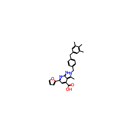 Cc1cc(Cc2ccc(Cn3nc4nc(-c5ccco5)cc(C(=O)O)c4c3C)cc2)cc(C)c1C